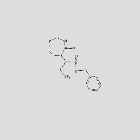 NCC(C(=O)OCc1ccccc1)C1CCCCNC1=O